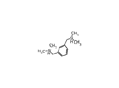 C[SiH](C)Cc1cccc(C[SiH](C)C)c1